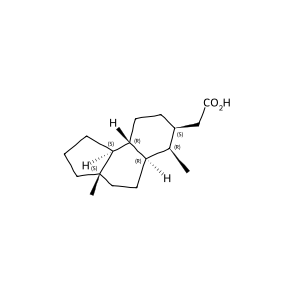 C[C@@H]1[C@H](CC(=O)O)CC[C@@H]2[C@@H]1CC[C@]1(C)CCC[C@@H]21